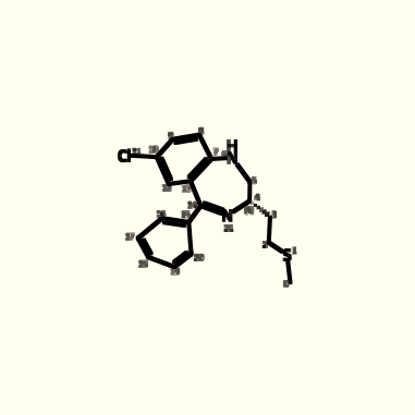 CSCC[C@H]1CNc2ccc(Cl)cc2C(c2ccccc2)=N1